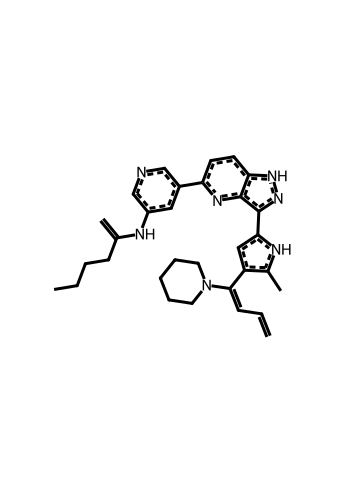 C=C/C=C(\c1cc(-c2n[nH]c3ccc(-c4cncc(NC(=C)CCCC)c4)nc23)[nH]c1C)N1CCCCC1